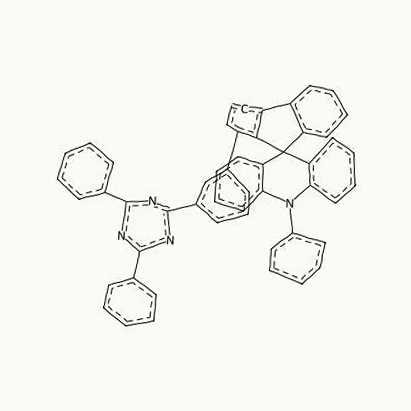 c1ccc(-c2nc(-c3ccccc3)nc(-c3cccc(-c4cccc5c4C4(c6ccccc6-5)c5ccccc5N(c5ccccc5)c5ccccc54)c3)n2)cc1